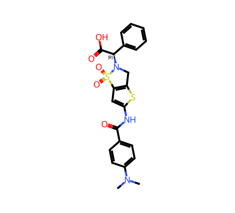 CN(C)c1ccc(C(=O)Nc2cc3c(s2)CN([C@@H](C(=O)O)c2ccccc2)S3(=O)=O)cc1